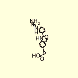 NN=CNc1cccc(C(=O)Nc2ccc(C3CC3C(=O)O)cc2F)c1